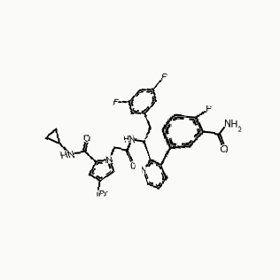 CC(C)c1cc(C(=O)NC2CC2)n(CC(=O)N[C@@H](Cc2cc(F)cc(F)c2)c2ncccc2-c2ccc(F)c(C(N)=O)c2)c1